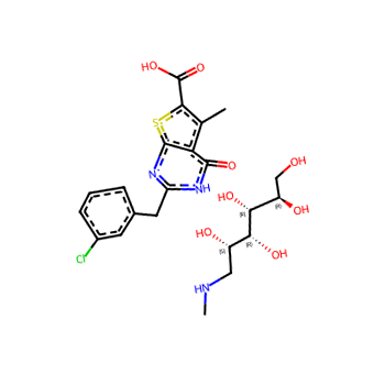 CNC[C@H](O)[C@@H](O)[C@H](O)[C@H](O)CO.Cc1c(C(=O)O)sc2nc(Cc3cccc(Cl)c3)[nH]c(=O)c12